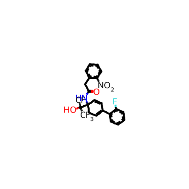 O=C(Cc1ccccc1[N+](=O)[O-])NC1(C(O)(C(F)(F)F)C(F)(F)F)C=CC(c2ccccc2F)=CC1